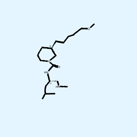 CNC[C@H](CC(C)C)NC(=O)N1CCC[C@@H](CCCCCOC)C1